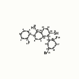 Fc1ccccc1-c1ccc2c(-c3cc(Br)ccc3F)c(S)ccc2c1S